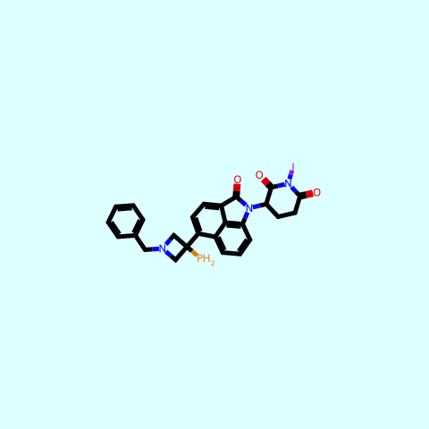 O=C1CCC(N2C(=O)c3ccc(C4(P)CN(Cc5ccccc5)C4)c4cccc2c34)C(=O)N1I